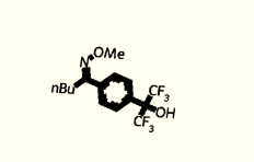 CCCC/C(=N/OC)c1ccc(C(O)(C(F)(F)F)C(F)(F)F)cc1